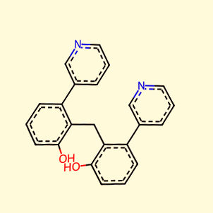 Oc1cccc(-c2cccnc2)c1Cc1c(O)cccc1-c1cccnc1